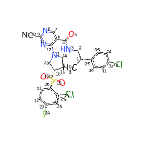 CC(CNC(=O)c1cnc(C#N)nc1N1CC[C@H](S(=O)(=O)c2ccc(F)cc2Cl)C1)c1ccc(Cl)cc1